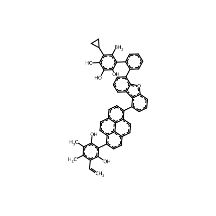 Bc1c(-c2ccccc2-c2cccc3c2oc2cccc(-c4ccc5ccc6c(-c7c(O)c(C)c(C)c(C=C)c7O)ccc7ccc4c5c76)c23)c(O)c(O)c(O)c1C1CC1